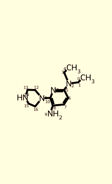 CCN(CC)c1ccc(N)c(N2CCNCC2)n1